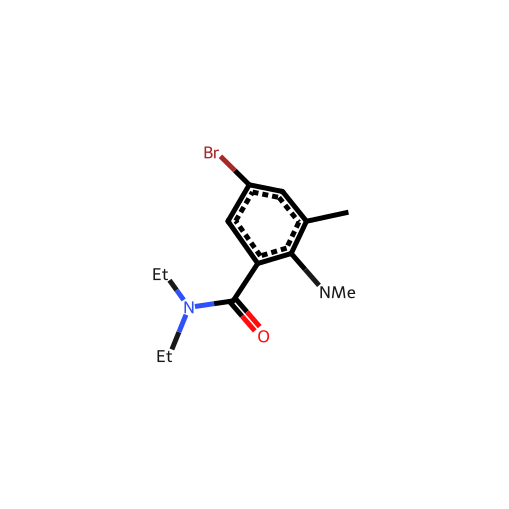 CCN(CC)C(=O)c1cc(Br)cc(C)c1NC